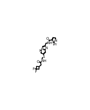 CC(C)n1nccc1C(=O)NCc1cn2ncc(SCNC(=O)CC3CC(F)(F)C3)cc2n1